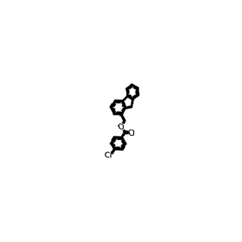 O=C(OCc1cccc2c1Cc1ccccc1-2)c1ccc(Cl)cc1